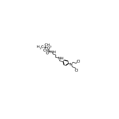 CC(C)(C)OC(=O)NCCCNCc1ccc(N(CCCl)CCCl)cc1